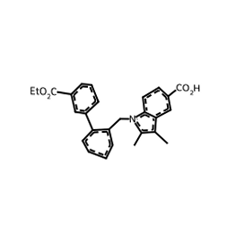 CCOC(=O)c1cccc(-c2ccccc2Cn2c(C)c(C)c3cc(C(=O)O)ccc32)c1